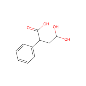 O=C(O)C(CC(O)O)c1ccccc1